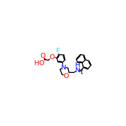 C[C@@H](NCC1CN(c2ccc(F)c(OCC(=O)O)c2)CCO1)c1cccc2ccccc12